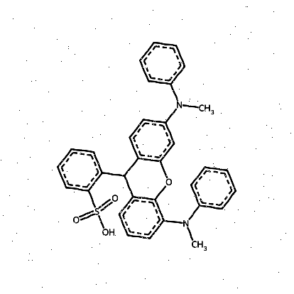 CN(c1ccccc1)c1ccc2c(c1)Oc1c(cccc1N(C)c1ccccc1)C2c1ccccc1S(=O)(=O)O